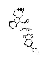 O=C(Nc1nc2ccc(C(F)(F)F)cc2s1)C(=O)c1c2n(c3ccccc13)CCNCC2